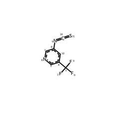 FC(F)(F)c1cncc(N=C=S)c1